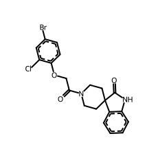 O=C(COc1ccc(Br)cc1Cl)N1CCC2(CC1)C(=O)Nc1ccccc12